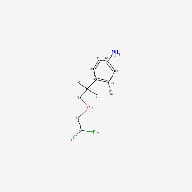 CC(C)(COCC(F)F)c1ccc(N)cc1F